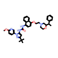 COc1ccc(-n2nc(C(C)(C)C)cc2NC(=O)Nc2ccc(OCCN3CCOC(C(C)c4ccccc4)C3)c3ccccc23)cn1